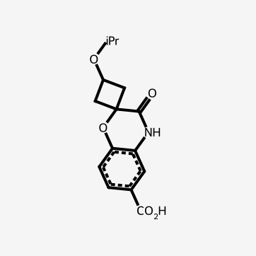 CC(C)OC1CC2(C1)Oc1ccc(C(=O)O)cc1NC2=O